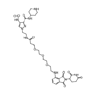 O=CNc1cn(CCNC(=O)CCOCCOCCOCCNc2cccc3c2C(=O)N(C2CCC(=O)NC2=O)C3=O)nc1C(=O)NC1CCNCC1